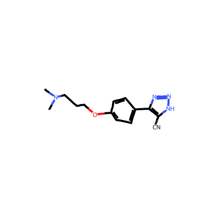 CN(C)CCCOc1ccc(-c2nn[nH]c2C#N)cc1